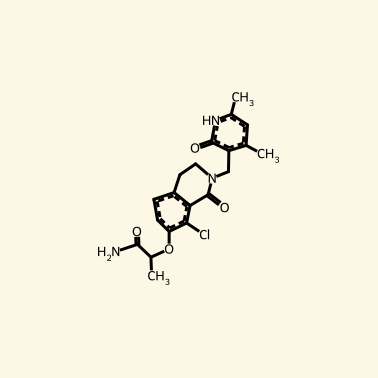 Cc1cc(C)c(CN2CCc3ccc(OC(C)C(N)=O)c(Cl)c3C2=O)c(=O)[nH]1